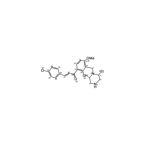 CCC1CNCCN1Cc1c(OC)ccc(C(=O)/C=C/c2ccc(Cl)cc2)c1O